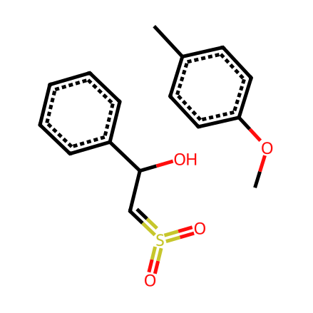 COc1ccc(C)cc1.O=S(=O)=CC(O)c1ccccc1